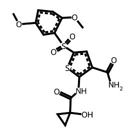 COc1ccc(OC)c(S(=O)(=O)c2cc(C(N)=O)c(NC(=O)C3(O)CC3)s2)c1